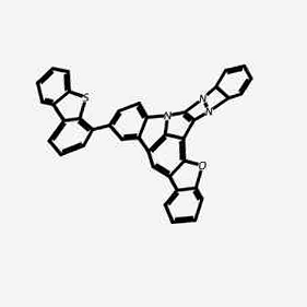 C1=CC2C(C=C1)n1c3c(c4c5oc6ccccc6c5cc5c6cc(-c7cccc8c7sc7ccccc78)ccc6n3c54)n12